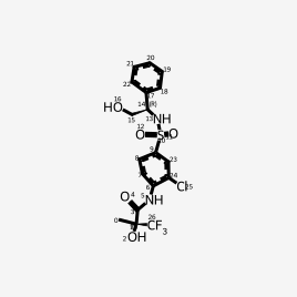 C[C@@](O)(C(=O)Nc1ccc(S(=O)(=O)N[C@@H](CO)c2ccccc2)cc1Cl)C(F)(F)F